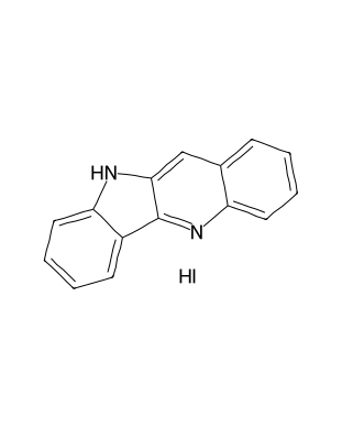 I.c1ccc2nc3c(cc2c1)[nH]c1ccccc13